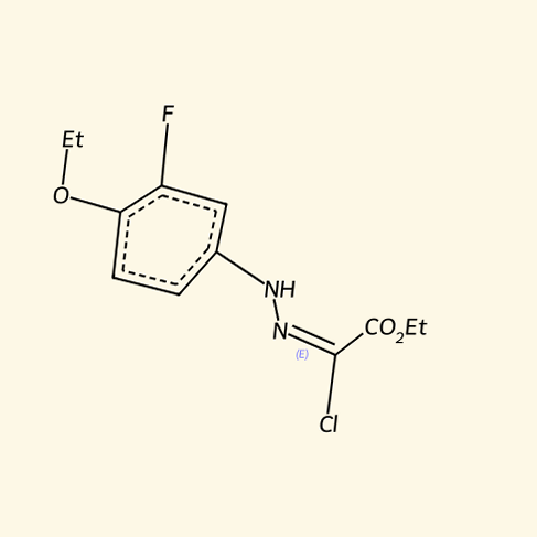 CCOC(=O)/C(Cl)=N\Nc1ccc(OCC)c(F)c1